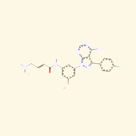 COc1cc(N(C)C(=O)/C=C/CN(C)C)cc(-n2nc(-c3ccc(Cl)cc3)c3c(N)ncnc32)c1